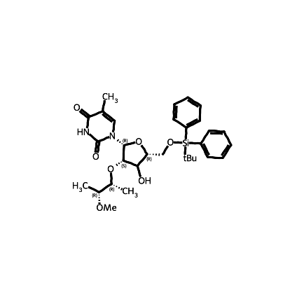 CO[C@H](C)[C@@H](C)O[C@H]1C(O)[C@@H](CO[Si](c2ccccc2)(c2ccccc2)C(C)(C)C)O[C@H]1n1cc(C)c(=O)[nH]c1=O